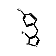 CC(C)c1[nH]ncc1Cc1ccc(O)cc1